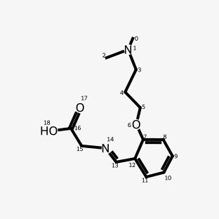 CN(C)CCCOc1ccccc1C=NCC(=O)O